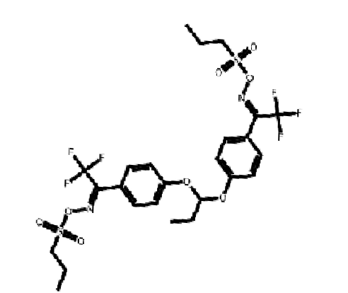 CCCS(=O)(=O)ON=C(c1ccc(OC(CC)Oc2ccc(C(=NOS(=O)(=O)CCC)C(F)(F)F)cc2)cc1)C(F)(F)F